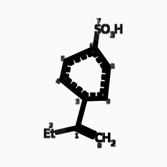 C=C(CC)c1ccc(S(=O)(=O)O)cc1